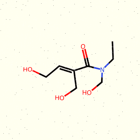 CCN(CO)C(=O)C(=CCO)CO